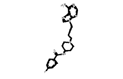 Nc1ncnc2c1ncn2CCCN1CCC(NC(=O)c2ccc(F)cc2)CC1